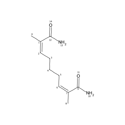 CC(=CCCCC=C(C)C(N)=O)C(N)=O